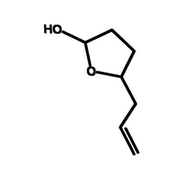 C=CCC1CCC(O)O1